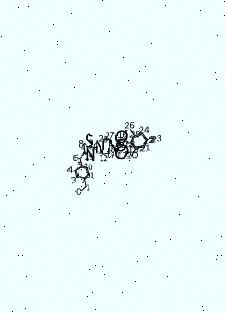 CCc1ccc(Cc2csc(N3CCN(S(=O)(=O)c4c(C)cc(C)cc4C)CC3)n2)cc1